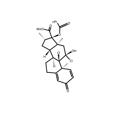 CCCC(=O)O[C@]1(C(=O)OC)[C@@H](C)C[C@H]2[C@@H]3CCC4=CC(=O)C=C[C@]4(C)[C@@]3(Cl)[C@@](O)(Cl)C[C@@]21C